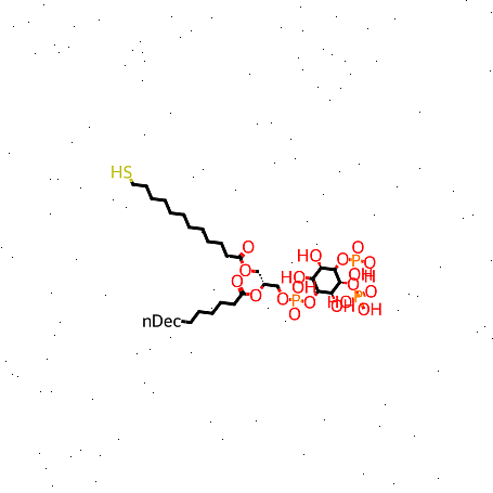 CCCCCCCCCCCCCCCC(=O)O[C@H](COC(=O)CCCCCCCCCCCS)COP(=O)(O)OC1C(O)[C@@H](O)C(OP(=O)(O)O)[C@@H](OP(=O)(O)O)[C@H]1O